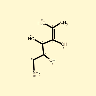 CC(C)=C(O)C(O)C(O)CN